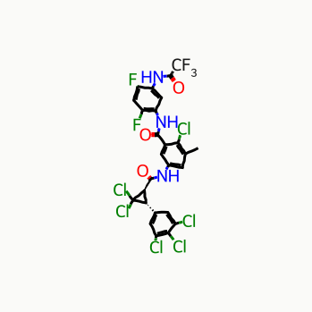 Cc1cc(NC(=O)[C@H]2[C@H](c3cc(Cl)c(Cl)c(Cl)c3)C2(Cl)Cl)cc(C(=O)Nc2cc(NC(=O)C(F)(F)F)c(F)cc2F)c1Cl